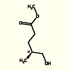 COC(=O)CC[C@H](C)CO